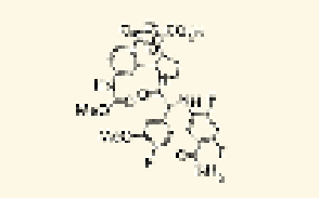 CCS(=O)(=O)c1ccc(NC(=O)OC)cc1[C@@H]1[C@@H](OC(=O)O)CCN1C(=O)[C@H](Nc1cc(C(N)=O)c(F)cc1F)c1ccc(F)c(OC)c1